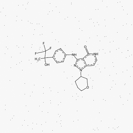 CC(O)(c1ccc(Nc2nn(C3CCCOC3)c3cc[nH]c(=O)c23)cc1)C(F)(F)F